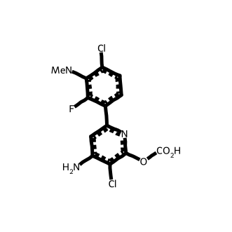 CNc1c(Cl)ccc(-c2cc(N)c(Cl)c(OC(=O)O)n2)c1F